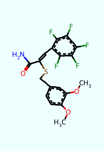 COc1ccc(CSC(=Cc2c(F)c(F)c(F)c(F)c2F)C(N)=O)cc1OC